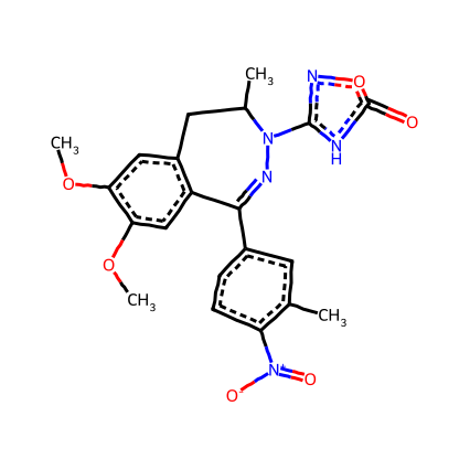 COc1cc2c(cc1OC)C(c1ccc([N+](=O)[O-])c(C)c1)=NN(c1noc(=O)[nH]1)C(C)C2